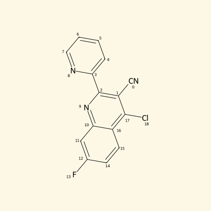 N#Cc1c(-c2ccccn2)nc2cc(F)ccc2c1Cl